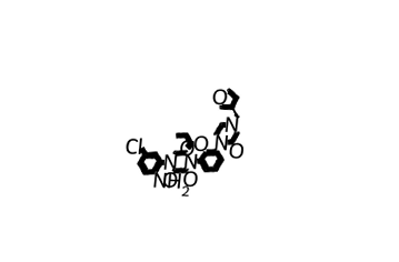 CCC(=O)Oc1c(N2CCN(C[C@@H]3CCOC3)CC2=O)cccc1N1CCN(c2cc(Cl)ccc2N)C(=O)C1=O